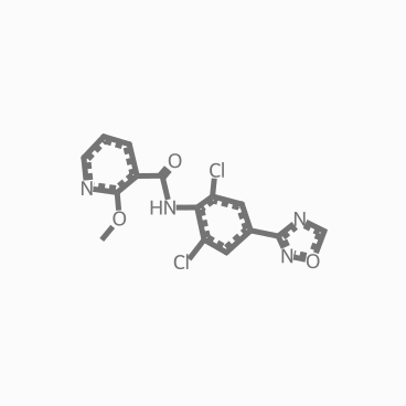 COc1ncccc1C(=O)Nc1c(Cl)cc(-c2ncon2)cc1Cl